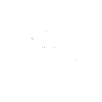 CC[C@]12CCCCN1c1nc(-n3ccnc3-c3cccc(F)c3)ncc1N(C)C2=O